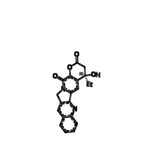 CC[C@@]1(O)CC(=O)Oc2c1cc1n(c2=O)Cc2cc3ccccc3nc2-1